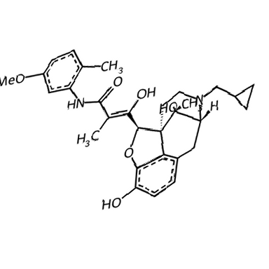 COc1ccc(C)c(NC(=O)/C(C)=C(\O)[C@@H]2Oc3c(O)ccc4c3[C@@]23CCN(CC2CC2)[C@H](C4)[C@@]3(C)O)c1